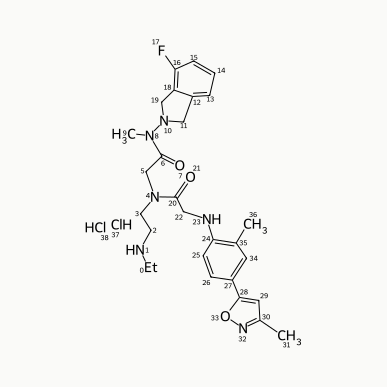 CCNCCN(CC(=O)N(C)N1Cc2cccc(F)c2C1)C(=O)CNc1ccc(-c2cc(C)no2)cc1C.Cl.Cl